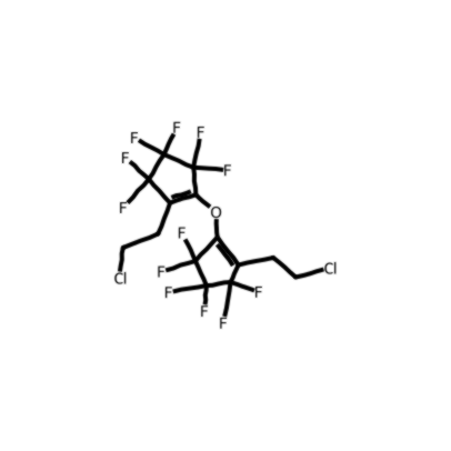 FC1(F)C(CCCl)=C(OC2=C(CCCl)C(F)(F)C(F)(F)C2(F)F)C(F)(F)C1(F)F